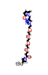 C=C1C=CC(=O)N1Cc1cn(CCOCCOCCOCCOCCC(=O)N2CC(C(C)(C)C)C2)nn1